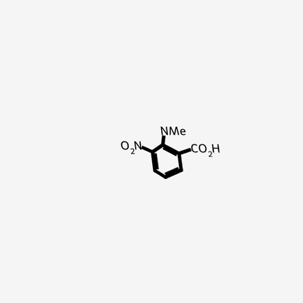 CNc1c(C(=O)O)cccc1[N+](=O)[O-]